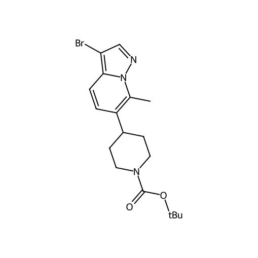 Cc1c(C2CCN(C(=O)OC(C)(C)C)CC2)ccc2c(Br)cnn12